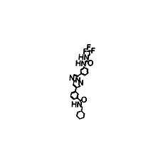 O=C(NCC(F)(F)F)Nc1cccc(-c2cnc3cc(-c4cccc(C(=O)NCC5CCCCC5)c4)cnn23)c1